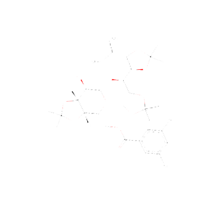 COC(OC)[C@@H]1OC(C)(C)O[C@H]1[C@H](O[C@@H]1O[C@H](COC(=O)c2cc([N+](=O)[O-])cc([N+](=O)[O-])c2)[C@@H]2OC(C)(C)O[C@@H]2[C@H]1O)[C@H]1COC(C)(C)O1